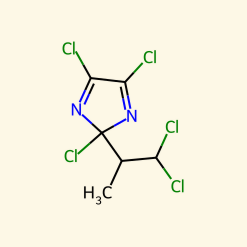 CC(C(Cl)Cl)C1(Cl)N=C(Cl)C(Cl)=N1